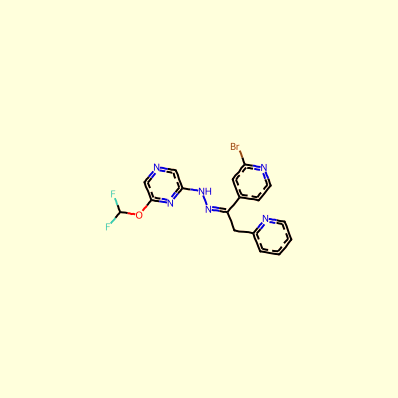 FC(F)Oc1cncc(NN=C(Cc2ccccn2)c2ccnc(Br)c2)n1